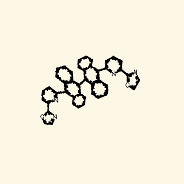 c1cc(-c2ncco2)nc(-c2c3ccccc3c(-c3c4ccccc4c(-c4cccc(-c5ncco5)n4)c4ccccc34)c3ccccc23)c1